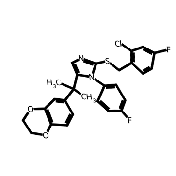 CC(C)(c1ccc2c(c1)OCCO2)c1cnc(SCc2ccc(F)cc2Cl)n1-c1ccc(F)cc1